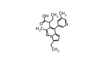 CCc1ccc2c(-c3cncc(C)c3)c(C(CC)C(=O)O)c(C)nn12